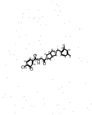 Cc1ccc(CN2CC3CN(C(=O)CNC(=O)c4ccc(Cl)c(Cl)c4)CC3C2)c(C)c1